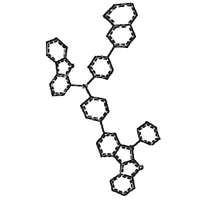 c1ccc(-n2c3cc(-c4ccc(N(c5ccc(-c6ccc7ccccc7c6)cc5)c5cccc6c5sc5ccccc56)cc4)ccc3c3c4ccccc4oc32)cc1